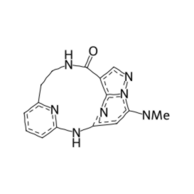 CNc1cc2nc3c(cnn13)C(=O)NCCc1cccc(n1)N2